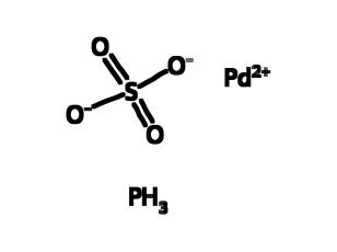 O=S(=O)([O-])[O-].P.[Pd+2]